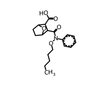 CCCCCON(C(=O)C1C2CCC(O2)C1C(=O)O)c1ccccc1